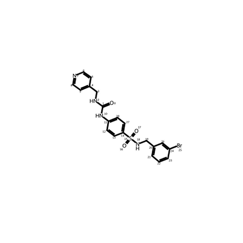 O=C(NCc1ccncc1)Nc1ccc(S(=O)(=O)NCc2cccc(Br)c2)cc1